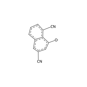 N#Cc1cc([O])c2c(C#N)cccc2c1